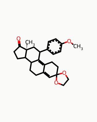 COc1ccc(C2C[C@]3(C)C(=O)CCC3C3CCC4=CC5(CCC4=C23)OCCO5)cc1